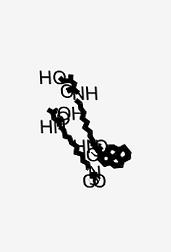 CC(CO)CC(=O)NCCCCCCCCCCN=S(=O)=O.CC(CO)CC(=O)NCCCCCCCCCCNS(=O)(=O)c1ccc2ccc3cccc4ccc1c2c34